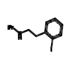 CC(C)NCCc1ccccc1I